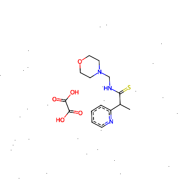 CC(C(=S)NCN1CCOCC1)c1ccccn1.O=C(O)C(=O)O